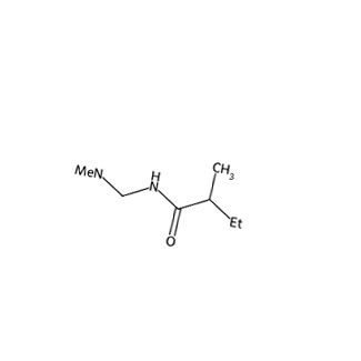 CCC(C)C(=O)NCNC